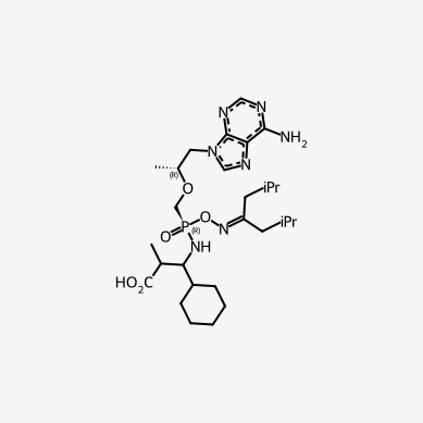 CC(C)CC(CC(C)C)=NO[P@](=O)(CO[C@H](C)Cn1cnc2c(N)ncnc21)NC(C1CCCCC1)C(C)C(=O)O